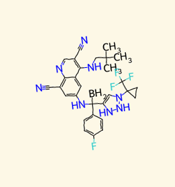 BC(Nc1cc(C#N)c2ncc(C#N)c(NCC(C)(C)C)c2c1)(C1=CN(C2(C(F)(F)F)CC2)NN1)c1ccc(F)cc1